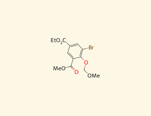 CCOC(=O)c1cc(Br)c(OCOC)c(C(=O)OC)c1